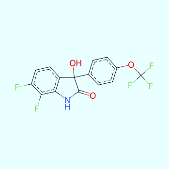 O=C1Nc2c(ccc(F)c2F)C1(O)c1ccc(OC(F)(F)F)cc1